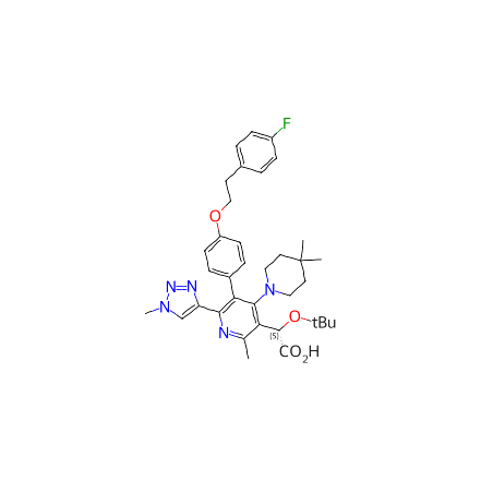 Cc1nc(-c2cn(C)nn2)c(-c2ccc(OCCc3ccc(F)cc3)cc2)c(N2CCC(C)(C)CC2)c1[C@H](OC(C)(C)C)C(=O)O